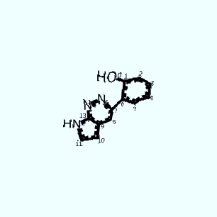 Oc1ccccc1-c1cc2c[c][nH]c2nn1